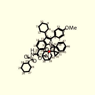 COc1ccc(-c2c(C3CCCCC3)c3ccc(C(=O)NS(=O)(=O)C4CCCCC4)cc3n2CC2(C(=O)N3C4CC3CN(Cc3ccccc3)C4)CC2)cc1